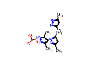 Cc1cc(C)[nH]n1.Cc1cc(C)[nH]n1.Cc1cc(C)[nH]n1.OB(O)O